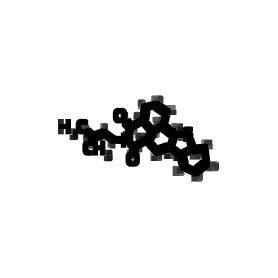 CC(C)=CCN1C(=O)c2cccc3c2c(cc2c4ccccc4sc32)C1=O